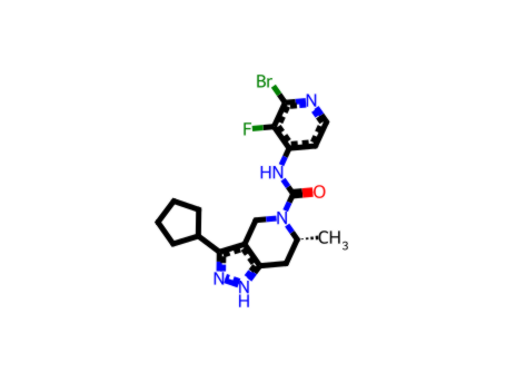 C[C@@H]1Cc2[nH]nc(C3CCCC3)c2CN1C(=O)Nc1ccnc(Br)c1F